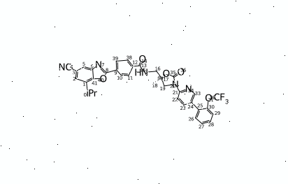 CC(C)c1cc(C#N)cc2nc(-c3ccc(C(=O)NC[C@]4(C)CN(c5ccc(-c6ccccc6OC(F)(F)F)cn5)C(=O)O4)cc3)oc12